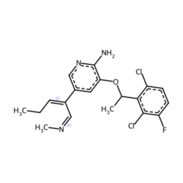 CC/C=C(\C=N/C)c1cnc(N)c(OC(C)c2c(Cl)ccc(F)c2Cl)c1